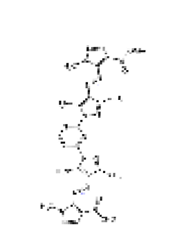 COC(=O)c1cnn(C)c1/N=N/c1c(C)nn(-c2nccc(-n3nc(C)c(/N=N/c4c(C(=O)C=O)cnn4C)c3N)n2)c1N